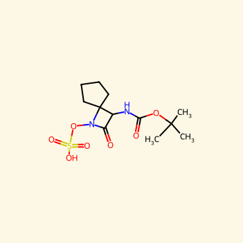 CC(C)(C)OC(=O)NC1C(=O)N(OS(=O)(=O)O)C12CCCC2